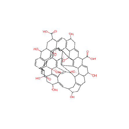 BC1=C2C3=C4C5=C6C7c8c9ccc%10c8=C5C5C(=CC8CC(O)/C(=C/C%11CC%12=C(CC%11O)CC%11C(O)C=C%13C(C(=O)O)C%14C=C%15CC(O)C%16=C%17C%15C%15%18O[C@]%15(C4=C4C(=C%14%18)C%13[C@]%11(O)C%12C24)C6C%17[C@@]24OC72C(CC(C(=O)O)C4=C%16)C9O)C1=C8C35O)C=%10C(=O)O